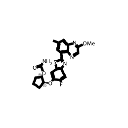 COc1cnc2c(-c3nc4cc(F)c(O[C@H]5CCC[C@H]5OC(N)=O)cc4s3)cc(C)cc2n1